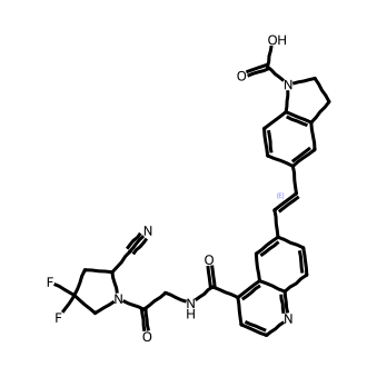 N#CC1CC(F)(F)CN1C(=O)CNC(=O)c1ccnc2ccc(/C=C/c3ccc4c(c3)CCN4C(=O)O)cc12